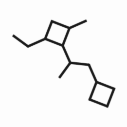 CCC1CC(C)C1[C](C)CC1CCC1